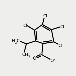 CC(C)c1c(Cl)c(Cl)c(Cl)c(Cl)c1[N+](=O)[O-]